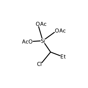 CCC(Cl)[Si](OC(C)=O)(OC(C)=O)OC(C)=O